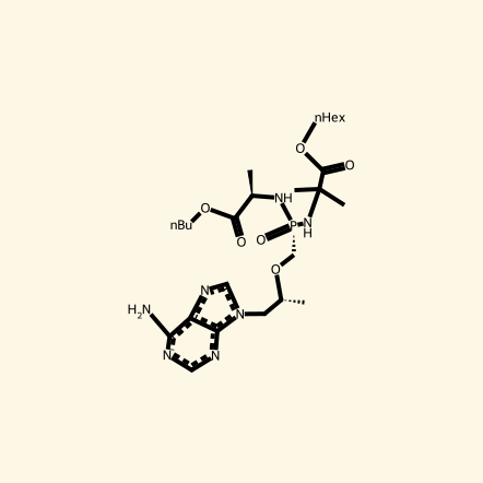 CCCCCCOC(=O)C(C)(C)N[P@](=O)(CO[C@H](C)Cn1cnc2c(N)ncnc21)N[C@H](C)C(=O)OCCCC